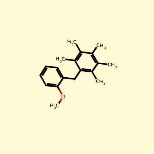 COc1ccccc1Cc1c(C)c(C)c(C)c(C)c1C